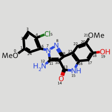 COc1ccc(Cl)c(-n2nc3c(c2N)c(=O)[nH]c2cc(O)c(OC)cc23)c1